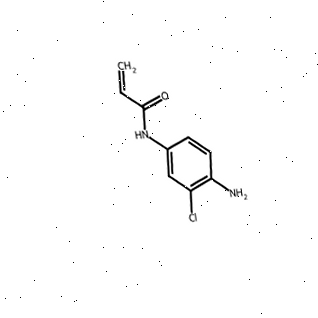 C=CC(=O)Nc1ccc(N)c(Cl)c1